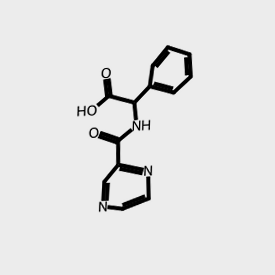 O=C(NC(C(=O)O)c1ccccc1)c1cnccn1